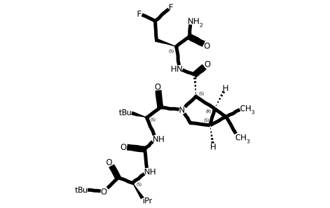 CC(C)[C@H](NC(=O)N[C@H](C(=O)N1C[C@H]2[C@@H]([C@H]1C(=O)N[C@@H](CC(F)F)C(N)=O)C2(C)C)C(C)(C)C)C(=O)OC(C)(C)C